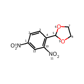 O=[N+]([O-])c1ccc(C2OCCO2)c([N+](=O)[O-])c1